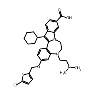 CN(C)CCN1CCn2c(c(C3CCCCC3)c3ccc(C(=O)O)cc32)-c2ccc(OCc3ccc(Cl)s3)cc21